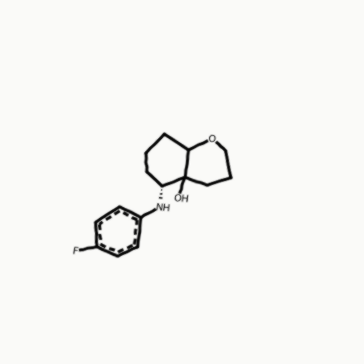 OC12CCCOC1CCC[C@H]2Nc1ccc(F)cc1